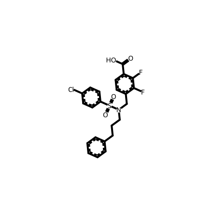 O=C(O)c1ccc(CN(CCCc2ccccc2)S(=O)(=O)c2ccc(Cl)cc2)c(F)c1F